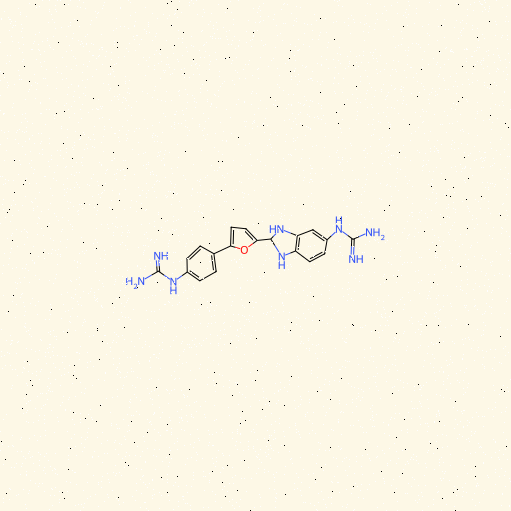 N=C(N)Nc1ccc(-c2ccc(C3Nc4ccc(NC(=N)N)cc4N3)o2)cc1